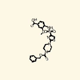 COc1cc(C(=O)O)ccc1NS(=O)(=O)c1csc(N2CCN(C(=O)OCc3ccccc3)CC2)n1